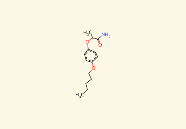 CCCCCOc1ccc(OC(C)C(N)=O)cc1